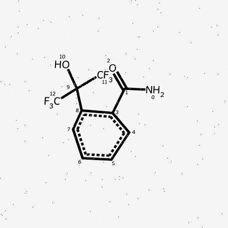 NC(=O)c1ccccc1C(O)(C(F)(F)F)C(F)(F)F